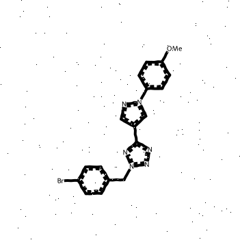 COc1ccc(-n2cc(-c3nnn(Cc4ccc(Br)cc4)n3)cn2)cc1